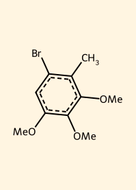 COc1cc(Br)c(C)c(OC)c1OC